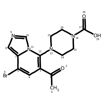 CC(=O)c1cc(Br)c2cncn2c1N1CCN(C(=O)O)CC1